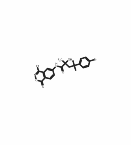 CCc1noc(=O)c2ccc(NC(=O)C(O)(CC(C)(C)c3ccc(Br)cc3)C(F)(F)F)cc12